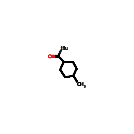 CC1CCC(C(=O)C(C)(C)C)CC1